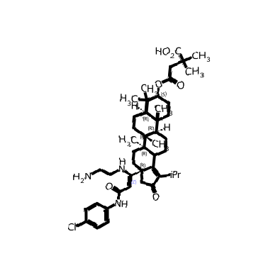 CC(C)C1=C2C3CC[C@@H]4C5(C)CC[C@H](OC(=O)CC(C)(C)C(=O)O)C(C)(C)[C@@H]5CC[C@@]4(C)[C@]3(C)CC[C@@]2(/C(=C/C(=O)Nc2ccc(Cl)cc2)NCCN)CC1=O